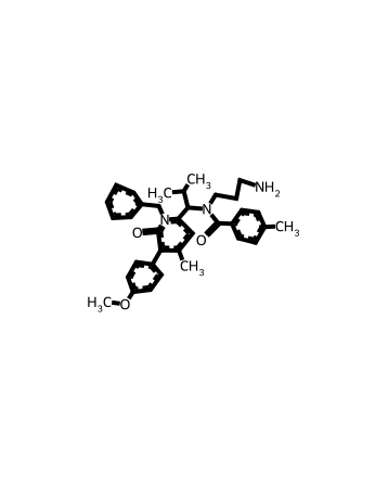 COc1ccc(-c2c(C)cc(C(C(C)C)N(CCCN)C(=O)c3ccc(C)cc3)n(Cc3ccccc3)c2=O)cc1